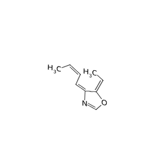 C\C=C/C=c1/nco/c1=C/C